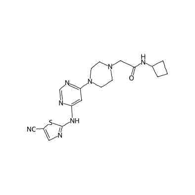 N#Cc1cnc(Nc2cc(N3CCN(CC(=O)NC4CCC4)CC3)ncn2)s1